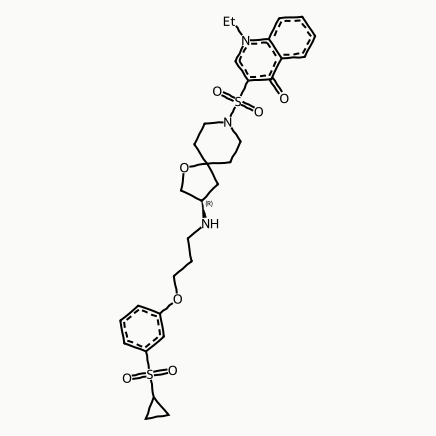 CCn1cc(S(=O)(=O)N2CCC3(CC2)C[C@@H](NCCCOc2cccc(S(=O)(=O)C4CC4)c2)CO3)c(=O)c2ccccc21